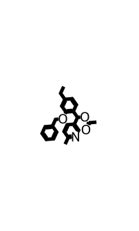 CCc1ccc(C(OC(C)=O)c2ccc(C)nc2)c(OCc2ccccc2)c1